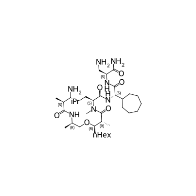 CCCCCC[C@@H](OC[C@@H](C)NC(=O)[C@@H](C)CN)[C@@H](C)C(=O)N(C)[C@@H](CC(C)C)C(=O)N[C@H](C(=O)N[C@@H](CN)C(N)=O)C1CCCCCC1